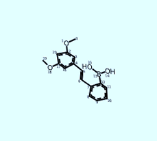 COc1cc(C=Cc2ccccc2B(O)O)cc(OC)c1